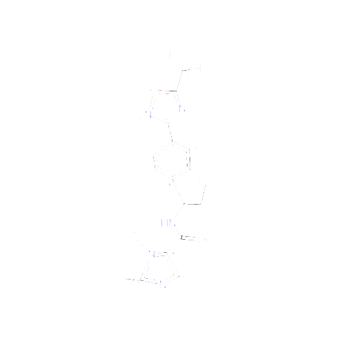 Cc1ncc(C(=O)NC2CCc3cc(-c4noc(C(F)F)n4)ccc32)n1C